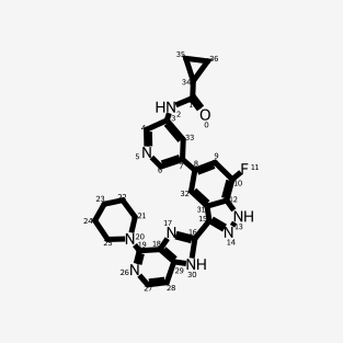 O=C(Nc1cncc(-c2cc(F)c3[nH]nc(-c4nc5c(N6CCCCC6)nccc5[nH]4)c3c2)c1)C1CC1